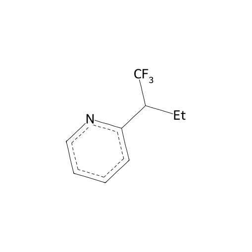 [CH2]CC(c1ccccn1)C(F)(F)F